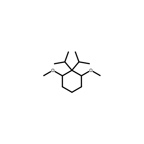 COC1CCCC(OC)C1(C(C)C)C(C)C